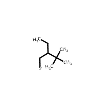 CCC(C[S])C(C)(C)C